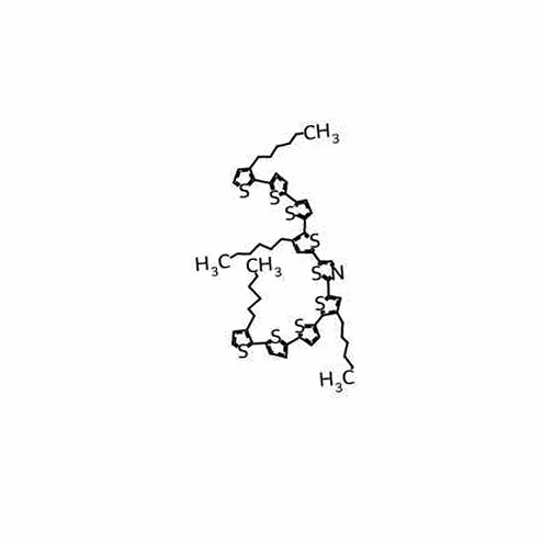 CCCCCCc1ccsc1-c1ccc(-c2ccc(-c3sc(-c4cnc(-c5cc(CCCCCC)c(-c6ccc(-c7ccc(-c8sccc8CCCCCC)s7)s6)s5)s4)cc3CCCCCC)s2)s1